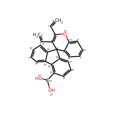 C=CC1=C(C=C)C2(c3ccccc3O1)c1ccccc1-c1c(B(O)O)cccc12